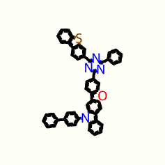 c1ccc(-c2ccc(-n3c4ccccc4c4cc5oc6cc(-c7nc(-c8ccccc8)nc(-c8ccc9c(c8)sc8ccccc89)n7)ccc6c5cc43)cc2)cc1